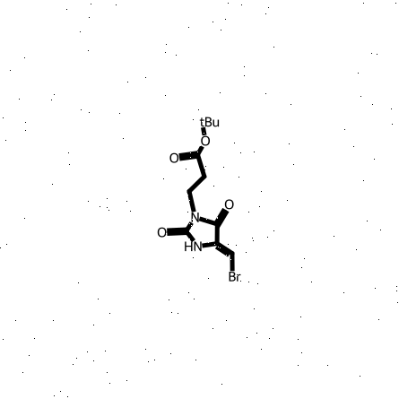 CC(C)(C)OC(=O)CCN1C(=O)N/C(=C\Br)C1=O